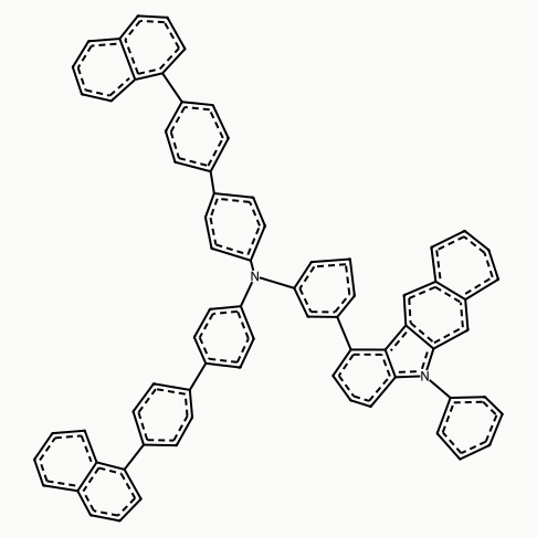 c1ccc(-n2c3cc4ccccc4cc3c3c(-c4cccc(N(c5ccc(-c6ccc(-c7cccc8ccccc78)cc6)cc5)c5ccc(-c6ccc(-c7cccc8ccccc78)cc6)cc5)c4)cccc32)cc1